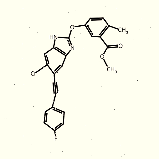 COC(=O)c1cc(Oc2nc3cc(C#Cc4ccc(F)cc4)c(Cl)cc3[nH]2)ccc1C